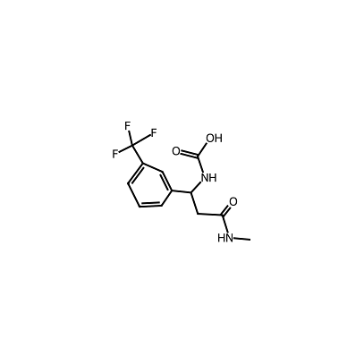 CNC(=O)CC(NC(=O)O)c1cccc(C(F)(F)F)c1